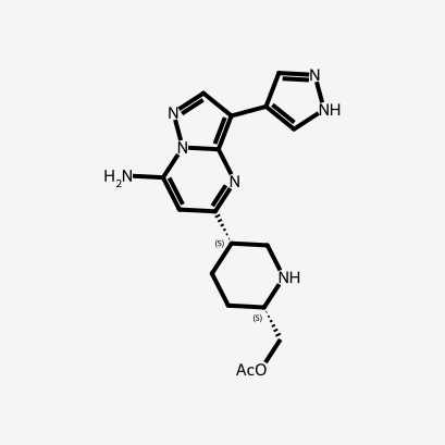 CC(=O)OC[C@@H]1CC[C@H](c2cc(N)n3ncc(-c4cn[nH]c4)c3n2)CN1